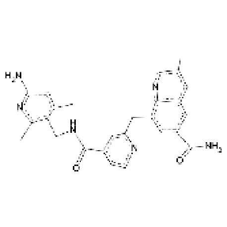 Cc1cnc2c(Cc3cc(C(=O)NCc4c(C)cc(N)nc4C)ccn3)cc(C(N)=O)cc2c1